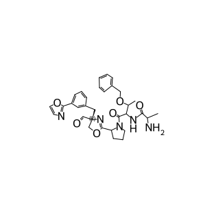 CC(N)C(=O)NC(C(=O)N1CCCC1C1=N[C@](C=O)(Cc2cccc(-c3ncco3)c2)CO1)C(C)OCc1ccccc1